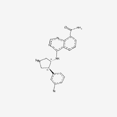 NC(=O)c1cccc2c(N[C@H]3CNC[C@@H]3c3cccc(Br)c3)ncnc12